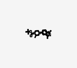 Cc1nn(C)c2ccc(N3CCN(C(=O)OC(C)(C)C)[C@H](C)C3)cc12